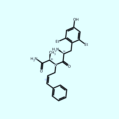 CCc1cc(O)cc(CC)c1C[C@H](N)C(=O)N(C/C=C\c1ccccc1)[C@H](C)C(N)=O